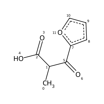 CC(C(=O)O)C(=O)c1ccco1